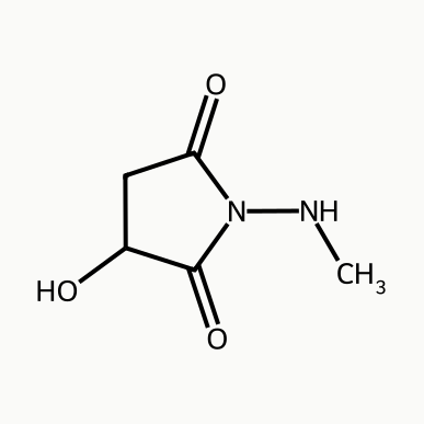 CNN1C(=O)CC(O)C1=O